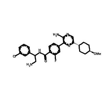 CO[C@H]1CC[C@H](c2cnc(N)c(-c3ccc(C(=O)NC(CN)c4cccc(Cl)c4)c(F)c3)n2)CC1